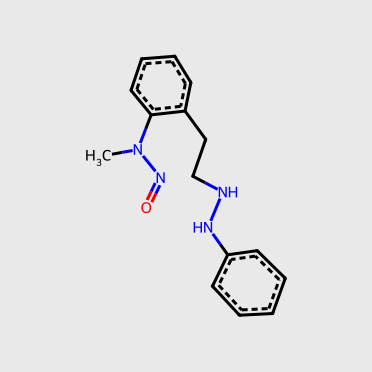 CN(N=O)c1ccccc1CCNNc1ccccc1